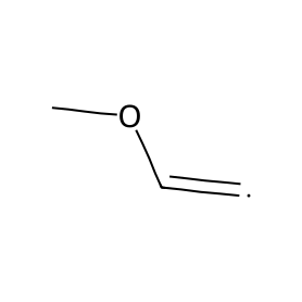 [CH]=COC